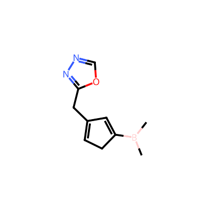 CB(C)C1=CC(Cc2nnco2)=CC1